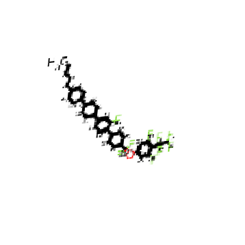 CCCCCC1CCC(C2CCC(c3ccc(C4CCC(C(F)(F)Oc5cc(F)c(C(F)(F)C(F)F)c(F)c5)CC4)c(F)c3)CC2)CC1